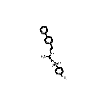 Cc1ccc(S(=O)(=O)ON=C(N)NN=Cc2ccc(-c3ccccc3)cc2)cc1